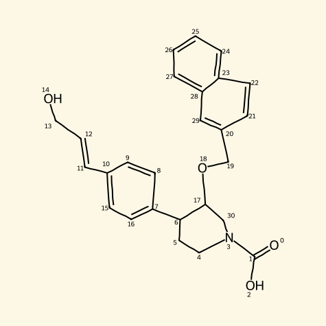 O=C(O)N1CCC(c2ccc(C=CCO)cc2)C(OCc2ccc3ccccc3c2)C1